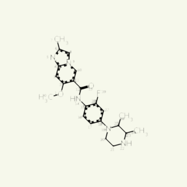 COc1cc2nc(C)cn2cc1C(=O)Nc1ccc(N2CCNC(C)C2C)cc1F